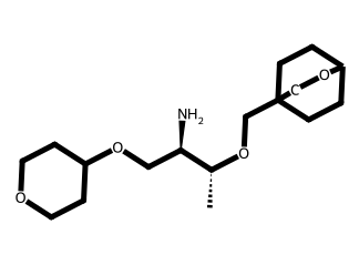 C[C@@H](OCC12CCC(CC1)OC2)[C@H](N)COC1CCOCC1